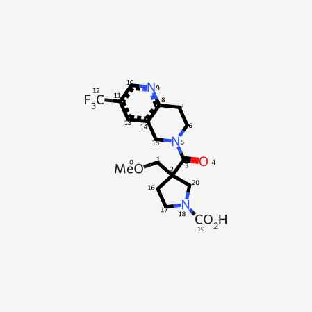 COCC1(C(=O)N2CCc3ncc(C(F)(F)F)cc3C2)CCN(C(=O)O)C1